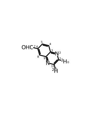 [2H]c1nc2ccc(C=O)cc2nc1[2H]